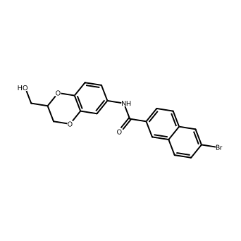 O=C(Nc1ccc2c(c1)OCC(CO)O2)c1ccc2cc(Br)ccc2c1